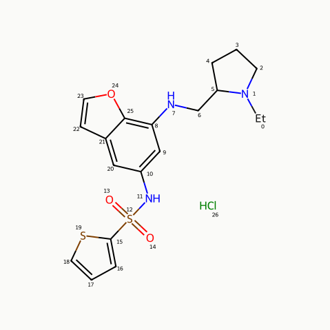 CCN1CCCC1CNc1cc(NS(=O)(=O)c2cccs2)cc2ccoc12.Cl